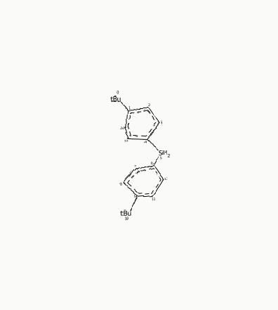 CC(C)(C)c1ccc([SiH2]c2ccc(C(C)(C)C)cc2)cc1